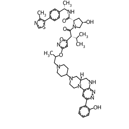 Cc1ncsc1-c1ccc([C@H](C)NC(=O)[C@@H]2C[C@@H](O)CN2C(=O)[C@@H](c2cc(OC(C)CN3CCC(N4CCN5c6cc(-c7ccccc7O)nnc6NC[C@H]5C4)CC3)no2)C(C)C)cc1